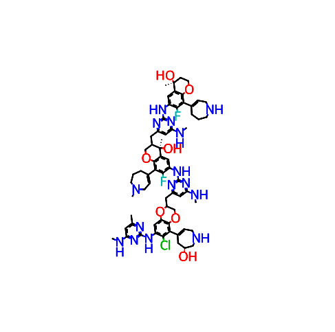 CNc1cc(CC2COc3c(cc(Nc4nc(CC5COc6c(cc(Nc7nc(C)cc(NC)n7)c(Cl)c6C6=CCNC[C@H](O)C6)O5)cc(NC)n4)c(F)c3C3=CCN(C)CCC3)[C@]2(C)O)nc(Nc2cc3c(c(C4=CCNCCC4)c2F)OCC[C@]3(C)O)n1